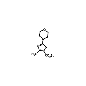 CCOC(=O)c1sc(N2CCOCC2)nc1C